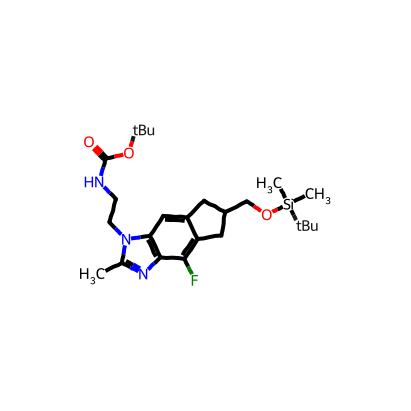 Cc1nc2c(F)c3c(cc2n1CCNC(=O)OC(C)(C)C)CC(CO[Si](C)(C)C(C)(C)C)C3